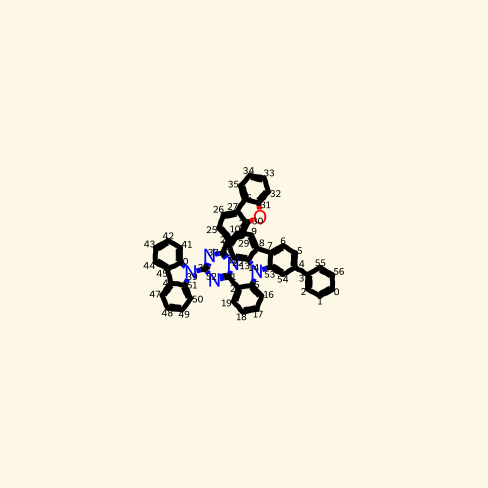 c1ccc(-c2ccc3c4ccccc4n(-c4ccccc4-c4nc(-c5ccc6c(c5)oc5ccccc56)nc(-n5c6ccccc6c6ccccc65)n4)c3c2)cc1